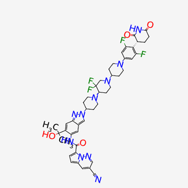 CC(C)(O)c1cc2nn(C3CCN([C@@H]4CCN(C5CCN(c6cc(F)c([C@H]7CCC(=O)NC7=O)c(F)c6)CC5)CC4(F)F)CC3)cc2cc1NC(=O)c1ccc2cc(C#N)cnn12